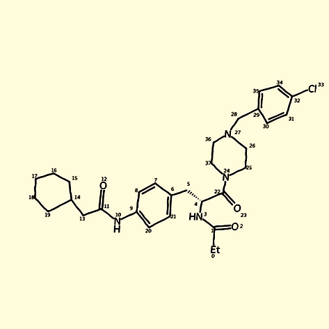 CCC(=O)N[C@H](Cc1ccc(NC(=O)CC2CCCCC2)cc1)C(=O)N1CCN(Cc2ccc(Cl)cc2)CC1